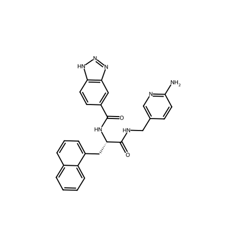 Nc1ccc(CNC(=O)[C@H](Cc2cccc3ccccc23)NC(=O)c2ccc3[nH]nnc3c2)cn1